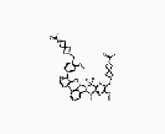 COc1cc(-c2nccc(-c3cccc4c3CC[C@H]4Nc3nc(OC)c(CN4CC5(C4)CN(C(C)=O)C5)nc3C(F)(F)F)c2Cl)ccc1CN1CC2(C1)CN(C(C)=O)C2